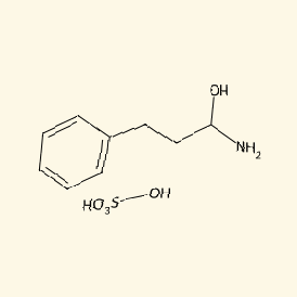 NC(O)CCc1ccccc1.O=S(=O)(O)O